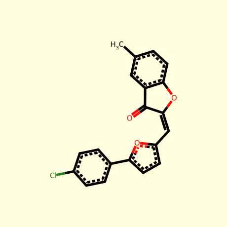 Cc1ccc2c(c1)C(=O)C(=Cc1ccc(-c3ccc(Cl)cc3)o1)O2